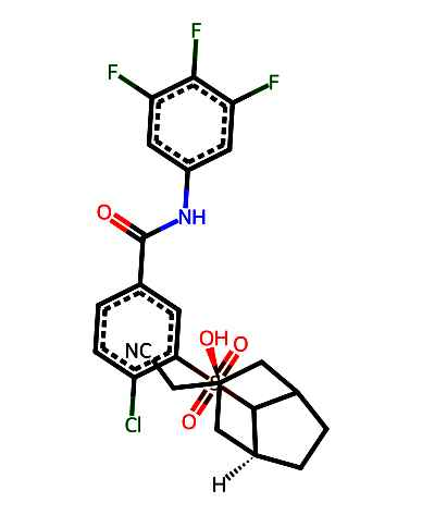 N#CC[C@]1(O)CC2CC[C@@H](C1)C2S(=O)(=O)c1cc(C(=O)Nc2cc(F)c(F)c(F)c2)ccc1Cl